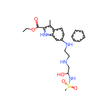 CCOC(=O)c1[nH]c2cc(NCCNCC(O)NS(C)(=O)=O)ccc2c1C.c1ccccc1